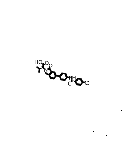 CC(C)[C@@H](C(=O)O)N1Cc2ccc(-c3ccc(NC(=O)c4ccc(Cl)cc4)cc3)cc2C1=O